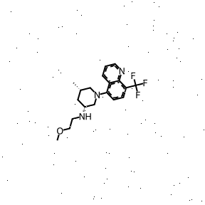 COCCN[C@@H]1C[C@H](C)CN(c2ccc(C(F)(F)F)c3ncccc23)C1